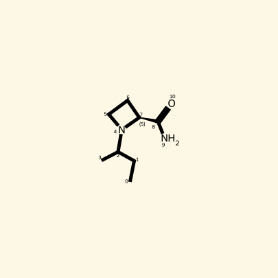 CCC(C)N1CC[C@H]1C(N)=O